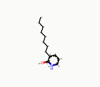 CCCCCCCCc1ccc[nH]c1=O